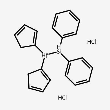 C1=CC[C]([Hf]([C]2=CC=CC2)[SiH](c2ccccc2)c2ccccc2)=C1.Cl.Cl